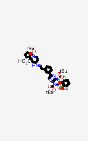 CC(C)(C)OC(=O)N(Cc1c(Cl)cccc1Cl)c1nc(-c2cccc(CCNC3CCN(C(=O)OC(C)(C)C)[C@@](C(=O)O)(C4CCCC4)C3)c2)cnc1N(C(=O)OC(C)(C)C)C(=O)OC(C)(C)C